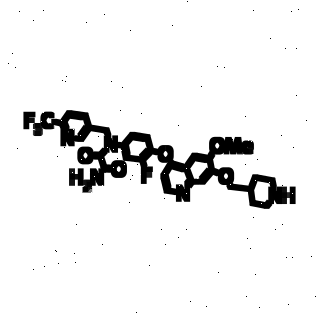 COc1cc2c(Oc3ccc(N(Cc4ccc(C(F)(F)F)nc4)C(=O)C(N)=O)cc3F)ccnc2cc1OCC1CCNCC1